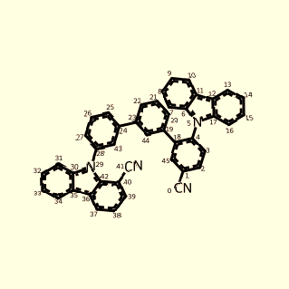 N#Cc1ccc(-n2c3ccccc3c3ccccc32)c(-c2cccc(-c3cccc(-n4c5ccccc5c5cccc(C#N)c54)c3)c2)c1